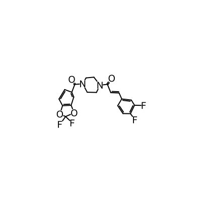 O=C(/C=C/c1ccc(F)c(F)c1)N1CCN(C(=O)c2ccc3c(c2)OC(F)(F)O3)CC1